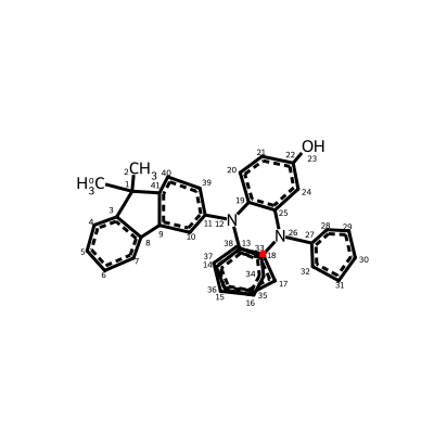 CC1(C)c2ccccc2-c2cc(N(c3ccccc3)c3ccc(O)cc3N(c3ccccc3)c3ccccc3)ccc21